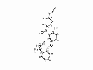 C=CCN1CCN(C(=O)c2cc(Oc3n[nH]c(=O)c4ccccc34)ccc2F)CC1